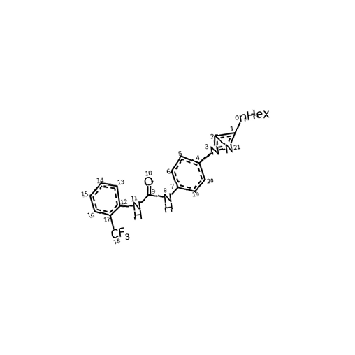 CCCCCCc1c2n(-c3ccc(NC(=O)Nc4ccccc4C(F)(F)F)cc3)n1-2